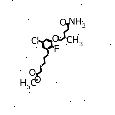 COC(=O)CCCCCc1cc(Cl)cc(OC[C@@H](C)CCC(N)=O)c1F